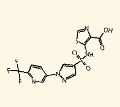 O=C(O)c1ncsc1NS(=O)(=O)c1cnn(-c2ccc(C(F)(F)F)nc2)c1